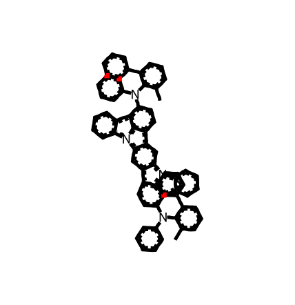 Cc1cccc(-c2ccccc2)c1N(c1ccccc1)c1ccc2c3cc4c(cc3n3c5ccccc5c1c23)c1ccc(N(c2ccccc2)c2c(C)cccc2-c2ccccc2)c2c3ccccc3n4c12